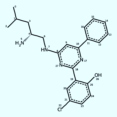 CC(C)C[C@@H](N)CNc1cc(-c2ccccc2)nc(-c2cc(Cl)ccc2O)n1